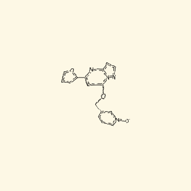 [O-][n+]1cccc(COc2cc(-c3ccco3)nc3ccnn23)c1